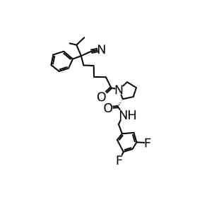 CC(C)C(C#N)(CCCCC(=O)N1CCC[C@@H]1C(=O)NCc1cc(F)cc(F)c1)c1ccccc1